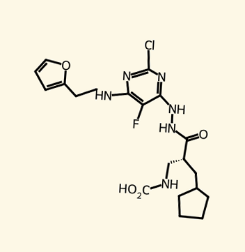 O=C(O)NC[C@@H](CC1CCCC1)C(=O)NNc1nc(Cl)nc(NCCc2ccco2)c1F